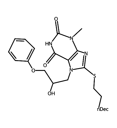 CCCCCCCCCCCCSc1nc2c(c(=O)[nH]c(=O)n2C)n1CC(O)COc1ccccc1